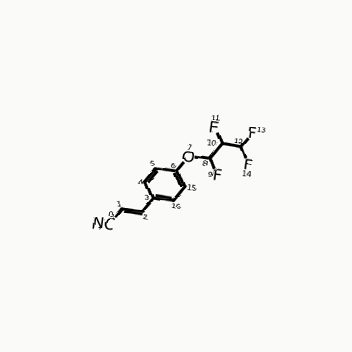 N#C/C=C/c1ccc(OC(F)C(F)C(F)F)cc1